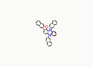 c1ccc(N(c2ccc3ccccc3c2)c2ccc3c(oc4cc5ccccc5cc43)c2N(c2ccccc2)c2ccc3ccccc3c2)cc1